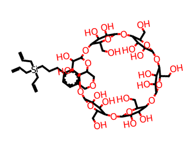 C=CC[Si](CC=C)(CC=C)CCCc1ccc(COCC2OC3OC4C(CO)OC(OC5C(CO)OC(OC6C(CO)OC(OC7C(CO)OC(OC8C(CO)OC(OC2C(O)C3O)C(O)C8O)C(O)C7O)C(O)C6O)C(O)C5O)C(O)C4O)cc1